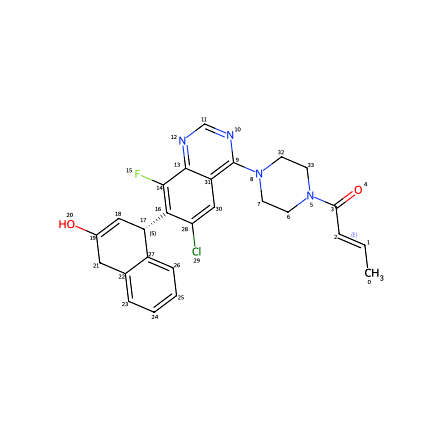 C/C=C/C(=O)N1CCN(c2ncnc3c(F)c([C@H]4C=C(O)Cc5ccccc54)c(Cl)cc23)CC1